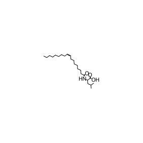 CCCCCCCC/C=C\CCCCCCCC(=O)NC(CC(C)C)C(=O)O